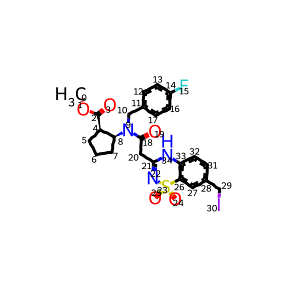 COC(=O)[C@@H]1CCC[C@@H]1N(Cc1ccc(F)cc1)C(=O)CC1=NS(=O)(=O)c2cc(CI)ccc2N1